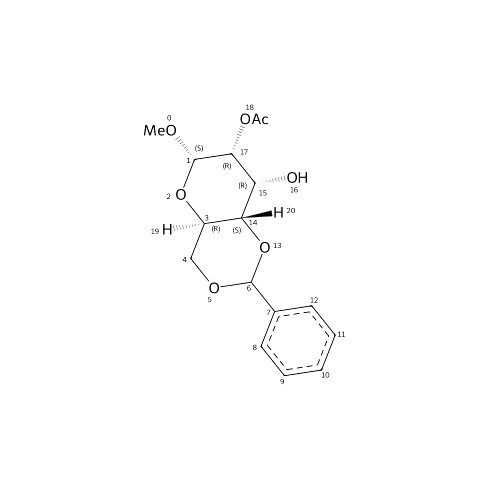 CO[C@H]1O[C@@H]2COC(c3ccccc3)O[C@H]2[C@@H](O)[C@H]1OC(C)=O